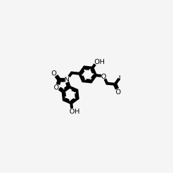 O=C(I)COc1ccc(Cn2c(=O)oc3cc(O)ccc32)cc1O